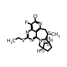 CCSc1nc2c3c(nc(Cl)c(F)c3n1)C[C@@H](C)[C@@H]1[C@@H]3CC[C@@H](C3)CN21